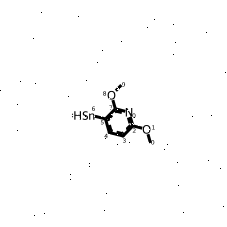 COc1cc[c]([SnH])c(OC)n1